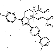 Cc1cc(-c2ccc(-n3nc(-c4ccc(F)cc4)c4c3[C@]3(C)C=C(C(N)=O)C(=O)[C@H](C)[C@H]3CC4)cc2)cnn1